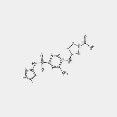 Cc1cc(S(=O)(=O)Nc2cscn2)ncc1N[C@H]1CCN(C(=O)O)C1